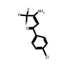 N/C(=C/C(=O)c1ccc(Cl)cc1)C(F)(F)F